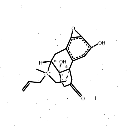 C=CC[N+]1(C)CC[C@]23CC(=O)CC[C@@]2(O)[C@H]1Cc1c3cc(O)c2c1O2.[I-]